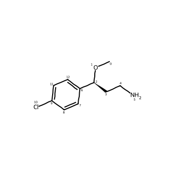 CO[C@@H](CCN)c1ccc(Cl)cc1